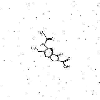 CCc1cc2c(cc1NC(C)=O)NC(C(=O)O)C2